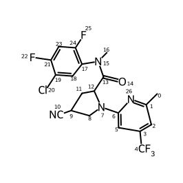 Cc1cc(C(F)(F)F)cc(N2CC(C#N)CC2C(=O)N(C)c2cc(Cl)c(F)cc2F)n1